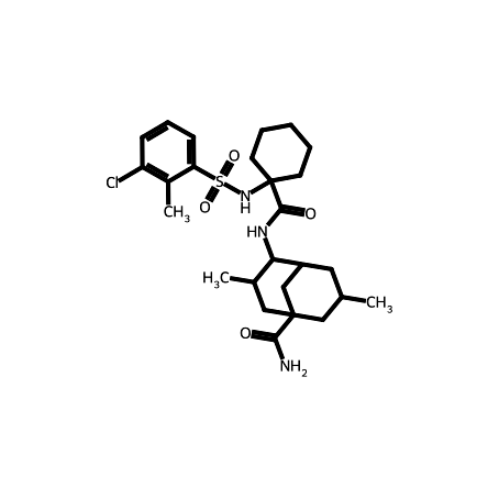 Cc1c(Cl)cccc1S(=O)(=O)NC1(C(=O)NC2C(C)CC3(C(N)=O)CC(C)CC2C3)CCCCC1